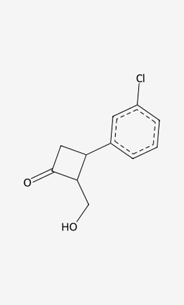 O=C1CC(c2cccc(Cl)c2)C1CO